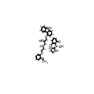 COc1ccccc1OCCNCC(O)COc1cccc2[nH]c3ccccc3c12.Cl.Clc1cccc(Cl)c1N=C1NCCN1